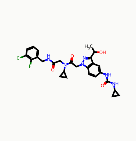 CC(O)c1nn(CC(=O)N(CC(=O)NCc2cccc(Cl)c2F)C2CC2)c2ccc(NC(=O)NC3CC3)cc12